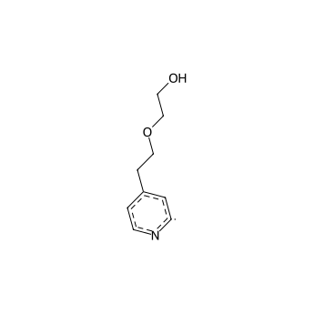 OCCOCCc1c[c]ncc1